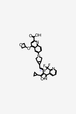 O=C(O)c1cc(OC2COC2)c2cc(N3CC4C(/C=C/c5c(-c6cccnc6C(F)(F)F)noc5C5CC5)C4C3)ccc2n1